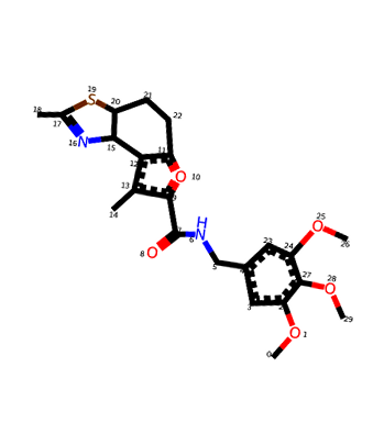 COc1cc(CNC(=O)c2oc3c(c2C)C2N=C(C)SC2CC3)cc(OC)c1OC